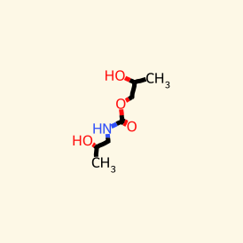 CC(O)CNC(=O)OCC(C)O